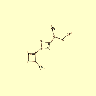 CC1CC=C1C1C=C(C(S)CS)C1